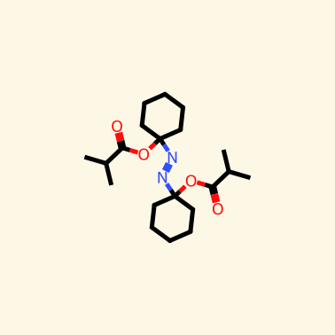 CC(C)C(=O)OC1(N=NC2(OC(=O)C(C)C)CCCCC2)CCCCC1